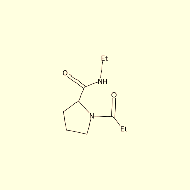 CCNC(=O)C1CCCN1C(=O)CC